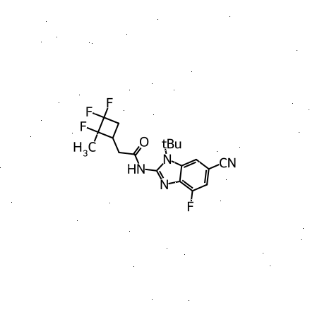 CC(C)(C)n1c(NC(=O)CC2CC(F)(F)C2(C)F)nc2c(F)cc(C#N)cc21